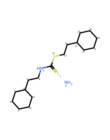 N.S=C(NCCC1CCCCC1)SCCC1CCCCC1